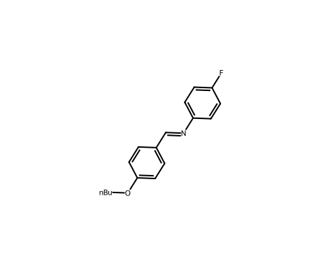 CCCCOc1ccc(C=Nc2ccc(F)cc2)cc1